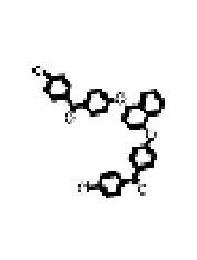 O=C(c1ccc(Cl)cc1)c1ccc(Oc2ccc(Oc3ccc(C(=O)c4ccc(Cl)cc4)cc3)c3ccccc23)cc1